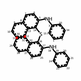 c1ccc(Nc2ccc3ccccc3c2Sc2c(Nc3ccccc3)ccc3ccccc23)cc1